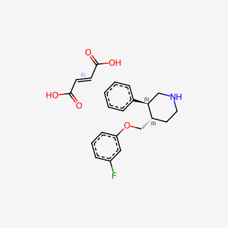 Fc1cccc(OC[C@H]2CCNC[C@@H]2c2ccccc2)c1.O=C(O)/C=C/C(=O)O